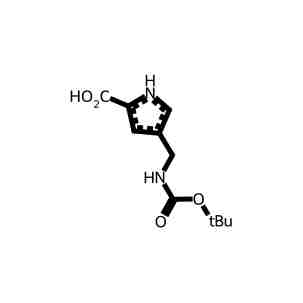 CC(C)(C)OC(=O)NCc1c[nH]c(C(=O)O)c1